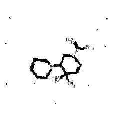 C=C(C)[C@@H]1CC[C@](C)(O)[C@@H](N2CCCCC2)C1